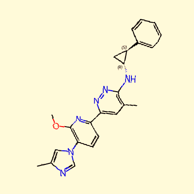 COc1nc(-c2cc(C)c(N[C@@H]3C[C@H]3c3ccccc3)nn2)ccc1-n1cnc(C)c1